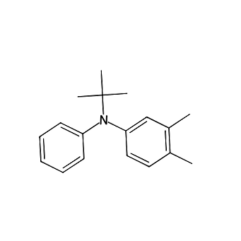 Cc1ccc(N(c2ccccc2)C(C)(C)C)cc1C